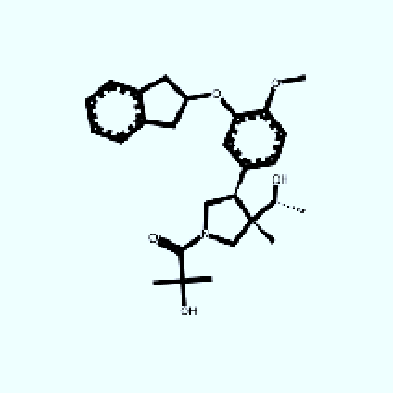 COc1ccc([C@@H]2CN(C(=O)C(C)(C)O)C[C@@]2(C)[C@@H](C)O)cc1OC1Cc2ccccc2C1